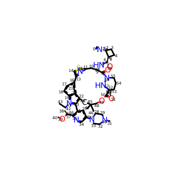 C#[N+][C@@H]1CC[C@H]1C(=O)N[C@H]1Cc2nc(cs2)-c2ccc3c(c2)c(c(-c2cc(N4CCN(C)CC4)cnc2[C@H](C)OC)n3CC)CC(C)(C)COC(=O)[C@@H]2CCCN(N2)C1=O